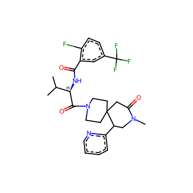 CC(C)[C@@H](NC(=O)c1cc(C(F)(F)F)ccc1F)C(=O)N1CCC2(CC1)CC(=O)N(C)CC2c1ccccn1